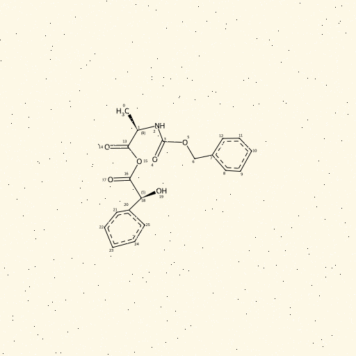 C[C@@H](NC(=O)OCc1ccccc1)C(=O)OC(=O)[C@@H](O)c1ccccc1